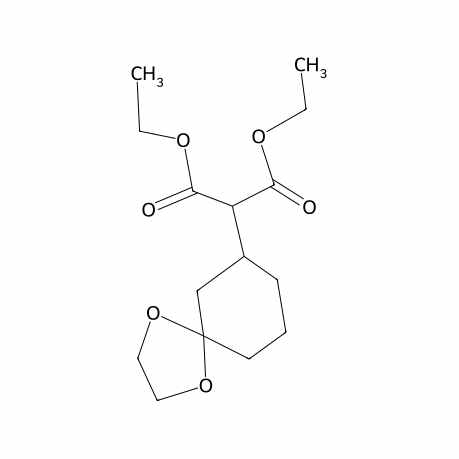 CCOC(=O)C(C(=O)OCC)C1CCCC2(C1)OCCO2